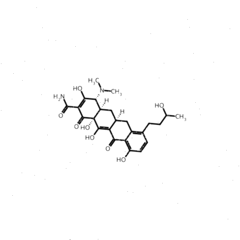 CC(O)CCc1ccc(O)c2c1C[C@@H]1C[C@@H]3[C@@H](N(C)C)C(O)=C(C(N)=O)C(=O)[C@]3(O)C(O)=C1C2=O